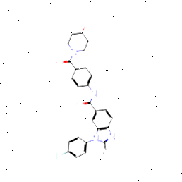 Cc1nc2ccc(C(=O)NC3=CCC(C(=O)N4CCC(O)CC4)C=C3)cc2n1-c1ccc(F)cc1